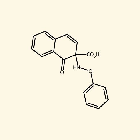 O=C(O)C1(NOc2ccccc2)C=Cc2ccccc2C1=O